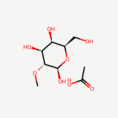 CC(=O)O.CO[C@@H]1[C@@H](O)[C@@H](O)[C@@H](CO)O[C@H]1O